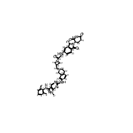 Cc1cccc(C)c1Nc1nn(C)c2nc(Nc3ccc4c(c3)CN(CC3CN(C(=O)CNc5ccc6c(c5)C(=O)N(C5CCC(=O)NC5=O)C6=O)C3)CC4)ncc12